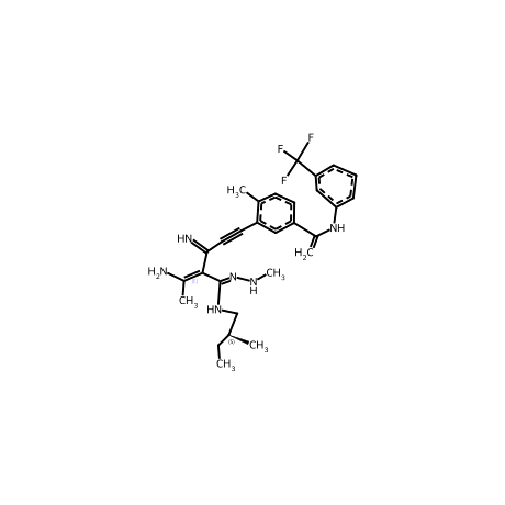 C=C(Nc1cccc(C(F)(F)F)c1)c1ccc(C)c(C#CC(=N)/C(C(=NNC)NC[C@@H](C)CC)=C(/C)N)c1